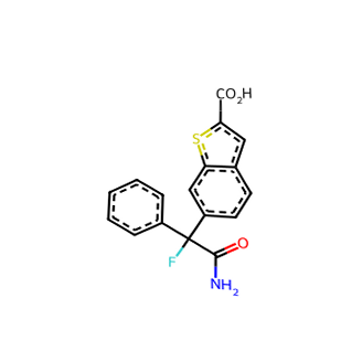 NC(=O)C(F)(c1ccccc1)c1ccc2cc(C(=O)O)sc2c1